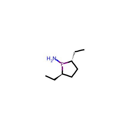 CC[C@@H]1CC[C@@H](CC)P1N